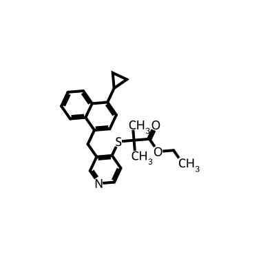 CCOC(=O)C(C)(C)Sc1ccncc1Cc1ccc(C2CC2)c2ccccc12